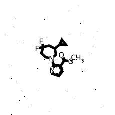 COC(=O)c1cccnc1N1CCC(F)(F)CC(C2CC2)C1